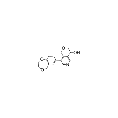 OC1COCc2c(-c3ccc4c(c3)COCCO4)cncc21